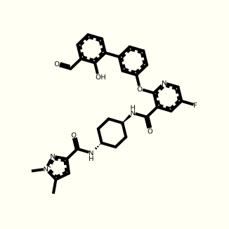 Cc1cc(C(=O)N[C@H]2CC[C@H](NC(=O)c3cc(F)cnc3Oc3cccc(-c4cccc(C=O)c4O)c3)CC2)nn1C